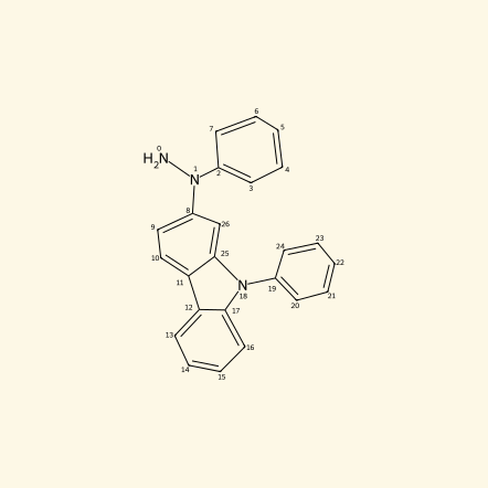 NN(c1ccccc1)c1ccc2c3ccccc3n(-c3ccccc3)c2c1